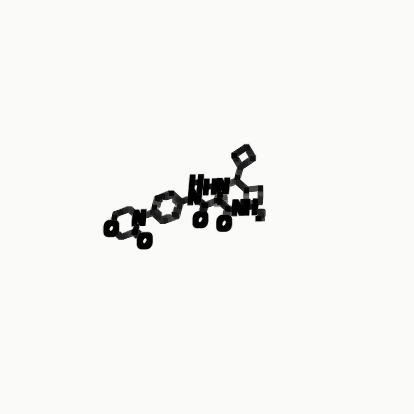 NC(=O)[C@H](NC(C1CCC1)C1CCC1)C(=O)Nc1ccc(N2CCOCC2=O)cc1